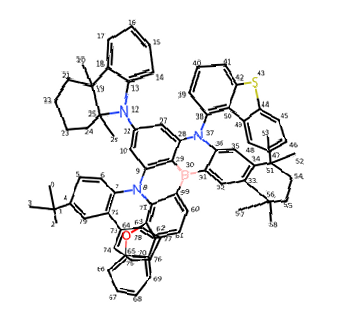 CC(C)(C)c1ccc(N2c3cc(N4c5ccccc5C5(C)CCCCC45C)cc4c3B(c3cc5c(cc3N4c3cccc4sc6ccccc6c34)C(C)(C)CCC5(C)C)c3ccc4c(oc5ccccc54)c32)c(-c2ccccc2)c1